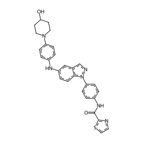 O=C(Nc1ccc(-n2ncc3cc(Nc4ccc(N5CCC(O)CC5)cc4)ccc32)cc1)c1nccs1